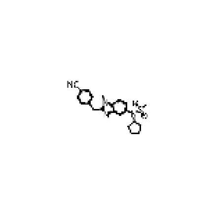 Cn1c(Cc2ccc(C#N)cc2)nc2cc(N(C3CCCC3)S(C)(=O)=O)ccc21